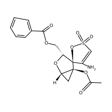 CC(=O)O[C@@]12C[C@@H]1O[C@H](COC(=O)c1ccccc1)[C@@]21OS(=O)(=O)C=C1N